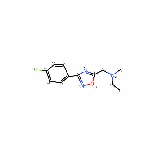 CCN(C)Cc1nc(-c2ccc(F)cc2)no1